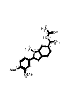 COc1ccc(C2CC3CCC(C(C)NC(N)=O)CC3N2C)cc1OC